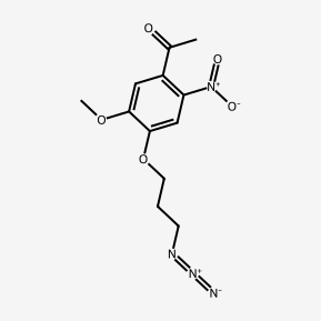 COc1cc(C(C)=O)c([N+](=O)[O-])cc1OCCCN=[N+]=[N-]